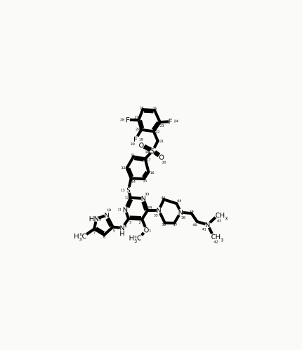 COc1c(Nc2cc(C)[nH]n2)nc(Sc2ccc(S(=O)(=O)Cc3c(F)ccc(F)c3F)cc2)nc1N1CCN(CCN(C)C)CC1